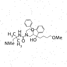 CNCC(C)(C)NC(=O)N1CCCC(C(O)(CCCCOC)c2ccccc2Oc2ccccc2)C1